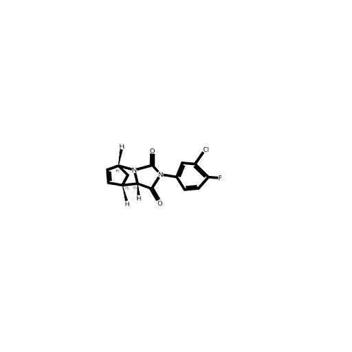 O=C1[C@@H]2[C@@H]3C=C[C@@H](C3)N2C(=O)N1c1ccc(F)c(Cl)c1